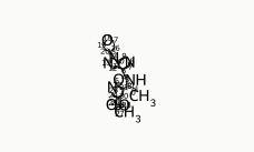 CC[C@H](NC(=O)c1cncc2c1cnn2C1CCOCC1)c1cncc(S(C)(=O)=O)c1